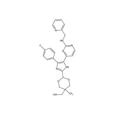 CC1(CO)COC(c2nc(-c3ccc(F)cc3)c(-c3ccnc(NCc4ccccn4)n3)[nH]2)OC1